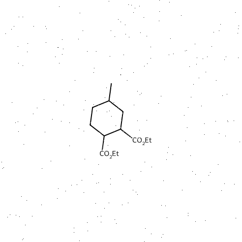 CCOC(=O)C1CCC(C)CC1C(=O)OCC